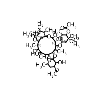 COC1CC(C)OC(O[C@@H]2[C@@H](C)[C@H](OC3CC(C)(OC)C(OC(C)=O)C(C)O3)[C@@H](C)C(=O)O[C@H](C(C)C(C)O)[C@H](C)[C@H](OC(C)=O)[C@@H](C)C(=O)[C@@](C)(O)C[C@@H]2C)C1O